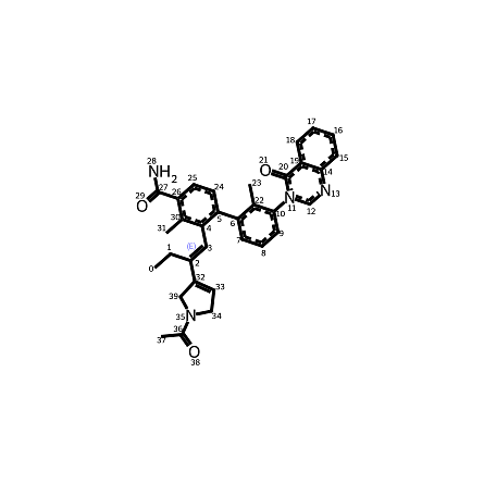 CC/C(=C\c1c(-c2cccc(-n3cnc4ccccc4c3=O)c2C)ccc(C(N)=O)c1C)C1=CCN(C(C)=O)C1